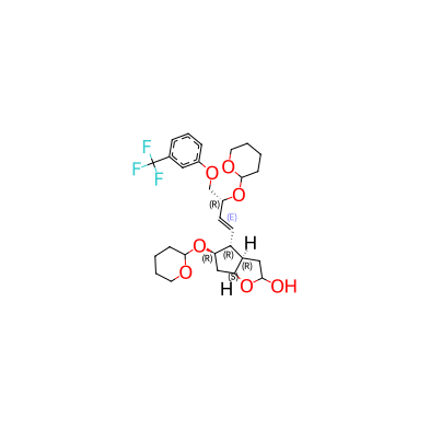 OC1C[C@@H]2[C@@H](/C=C/[C@H](COc3cccc(C(F)(F)F)c3)OC3CCCCO3)[C@H](OC3CCCCO3)C[C@@H]2O1